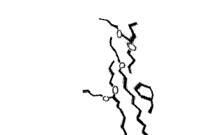 C=CC1=CCCCC1.C=CC=CC=CCCCCCCOCCCC.CCCCCCC=C(OCCCC)OCCCC.CCCCOC(CCC)OCCCC